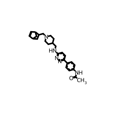 CC(=O)Nc1ccc(-c2ccc(NCC3CCN(CC4CC5C=CC4C5)CC3)nn2)cc1